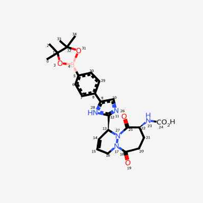 CC1(C)OB(c2ccc(-c3cnc([C@@H]4C=CCN5C(=O)CC[C@H](NC(=O)O)C(=O)N45)[nH]3)cc2)OC1(C)C